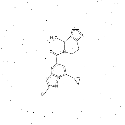 CC1c2ccsc2CCN1C(=O)c1cc(C2CC2)n2nc(Br)cc2n1